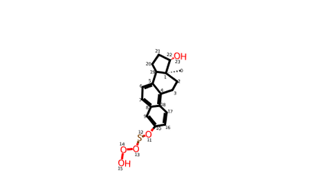 C[C@]12CCc3c(ccc4cc(OSOOO)ccc34)C1CC[C@@H]2O